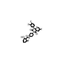 O=C(NC1CCC(n2c(=O)c3cc(F)cnc3n(-c3ccc(F)c(F)c3)c2=O)CC1)c1c(O)cccc1F